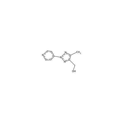 Cc1nn(-c2ccncc2)nc1CO